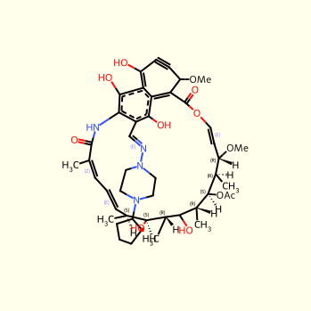 COC1C#CC(O)=c2c(O)c3c(/C=N/N4CCN(C5CCCC5)CC4)c(O)c2=C1C(=O)O/C=C/[C@H](OC)[C@@H](C)[C@@H](OC(C)=O)[C@H](C)C(O)[C@H](C)[C@@H](O)[C@@H](C)/C=C/C=C(/C)C(=O)N3